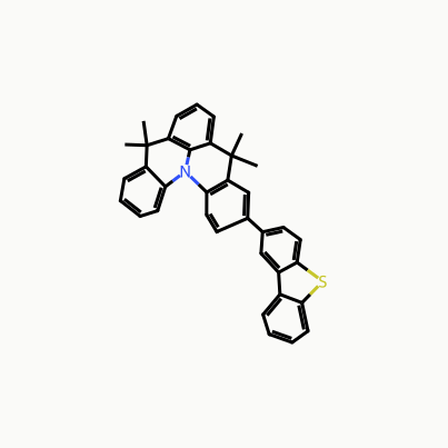 CC1(C)c2ccccc2N2c3ccc(-c4ccc5sc6ccccc6c5c4)cc3C(C)(C)c3cccc1c32